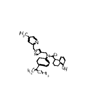 Cc1ccnc(Cn2cc(CN(C(=O)C3CCCc4c(O)cccc43)c3ccc(C(C)C)cc3)cn2)c1